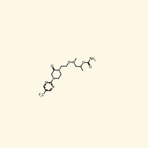 CC(CN(C)OCCN1CCN(c2ncc(C(F)(F)F)cn2)CC1=O)OC(N)=O